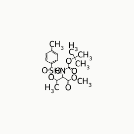 COC(=O)C(NC(=O)OC(C)(C)C)C(C)OS(=O)(=O)c1ccc(C)cc1